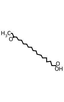 CCC(=O)CCCCCCCCCCCCCCCCC(=O)O